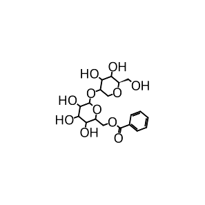 O=C(OCC1OC(OC2CO[C@H](CO)C(O)C2O)C(O)C(O)C1O)c1ccccc1